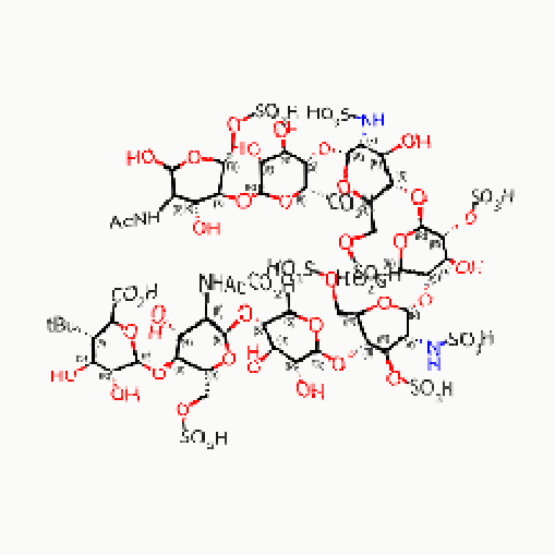 CC(=O)N[C@H]1[C@@H](O[C@H]2[C@H](O)[C@@H](O)[C@H](O[C@H]3[C@H](OS(=O)(=O)O)[C@@H](NS(=O)(=O)O)[C@@H](O[C@H]4[C@H](O)[C@@H](OS(=O)(=O)O)[C@H](O[C@H]5[C@H](O)[C@@H](NS(=O)(=O)O)[C@@H](O[C@H]6[C@H](O)[C@@H](O)[C@H](O[C@H]7[C@H](O)[C@@H](NC(C)=O)C(O)O[C@@H]7COS(=O)(=O)O)O[C@H]6C(=O)O)O[C@@H]5COS(=O)(=O)O)O[C@H]4C(=O)O)O[C@@H]3COS(=O)(=O)O)O[C@@H]2C(=O)O)O[C@H](COS(=O)(=O)O)[C@@H](O[C@@H]2OC(C(=O)O)[C@@H](C(C)(C)C)[C@H](O)[C@H]2O)[C@@H]1O